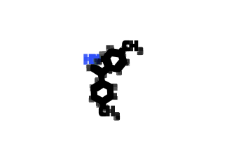 Cc1ccc2c(C3=CCC(C)CC3)c[nH]c2c1